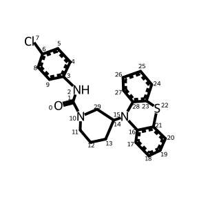 O=C(Nc1ccc(Cl)cc1)N1CCCC(N2c3ccccc3Sc3ccccc32)C1